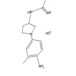 Cc1cc(N2CCC(NC(=N)N)C2)ccc1N.Cl